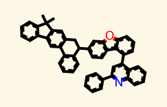 CC1(C)c2ccccc2-c2cc3c(cc21)CC(c1ccc2c(c1)oc1cccc(-c4cc(-c5ccccc5)nc5ccccc45)c12)c1ccccc1-3